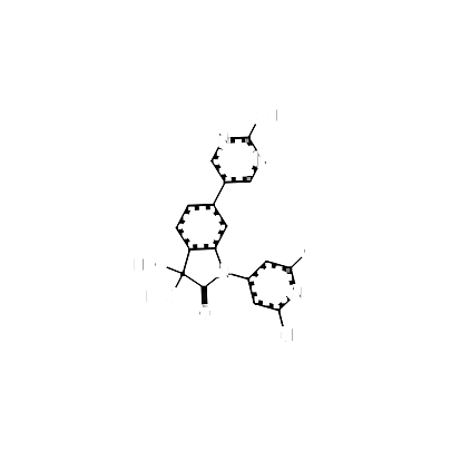 Cc1ncc(-c2ccc3c(c2)N(c2cc(Cl)nc(Cl)c2)C(=O)C3(C)C)cn1